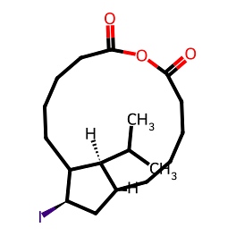 CC(C)[C@@H]1C2CCCCC(=O)OC(=O)CCCC[C@@H]1C[C@H]2I